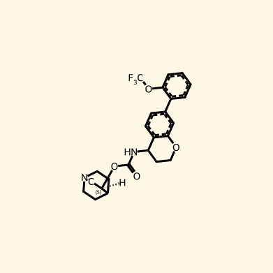 O=C(NC1CCOc2cc(-c3ccccc3OC(F)(F)F)ccc21)O[C@@H]1CN2CCC1CC2